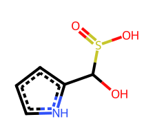 O=S(O)C(O)c1ccc[nH]1